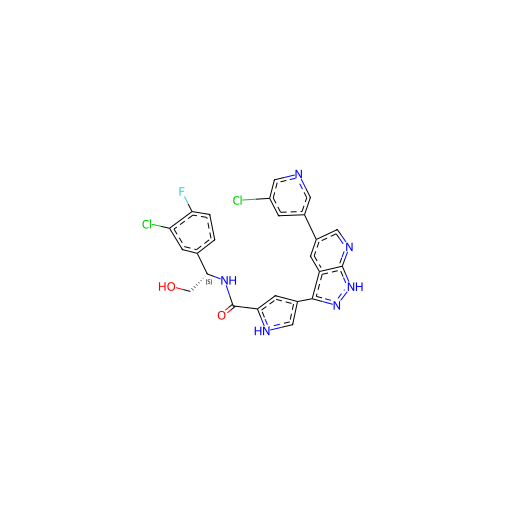 O=C(N[C@H](CO)c1ccc(F)c(Cl)c1)c1cc(-c2n[nH]c3ncc(-c4cncc(Cl)c4)cc23)c[nH]1